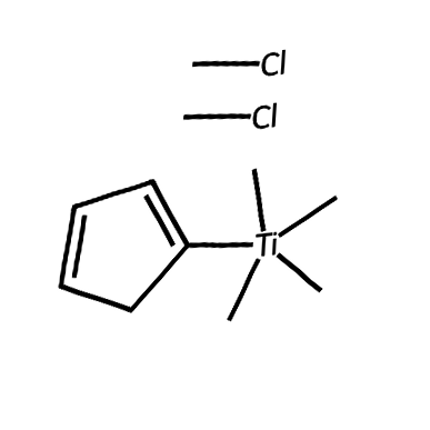 CCl.CCl.[CH3][Ti]([CH3])([CH3])([CH3])[C]1=CC=CC1